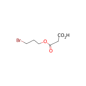 O=C(O)CC(=O)OCCCBr